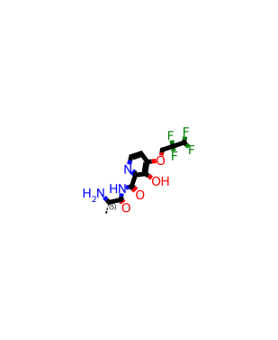 C[C@H](N)C(=O)NC(=O)c1nccc(OCC(F)(F)C(F)F)c1O